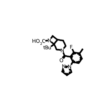 Cc1ccc(-n2cccn2)c(C(=O)N2CCC3CN(C(=O)O)C3(C(C)(C)C)C2)c1F